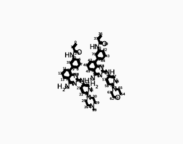 C=CC(=O)Nc1cccc(-c2cccc3c(N)nc(Nc4ccc(N5CCN(C)CC5)nc4)nc23)c1.C=CC(=O)Nc1cccc(-c2cccc3c(N)nc(Nc4ccc(N5CCOCC5)nc4)nc23)c1